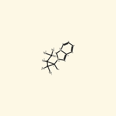 [2H]C([2H])([2H])C1([2H])C([2H])([2H])C1(C)N1C=C2C=CC=CN2C1